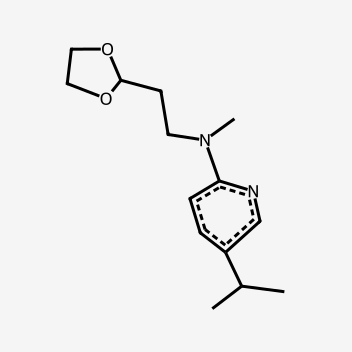 CC(C)c1ccc(N(C)CCC2OCCO2)nc1